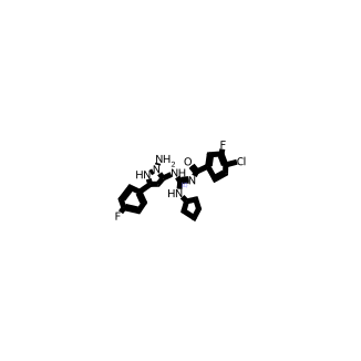 NN1NC(c2ccc(F)cc2)CC1N/C(=N\C(=O)c1ccc(Cl)c(F)c1)NC1CCCC1